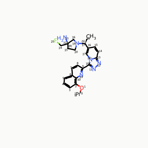 CC(C)Oc1cccc2ccc(-c3nnc4ccc([C@H](C)N5CC[C@](N)(CF)C5)cn34)nc12